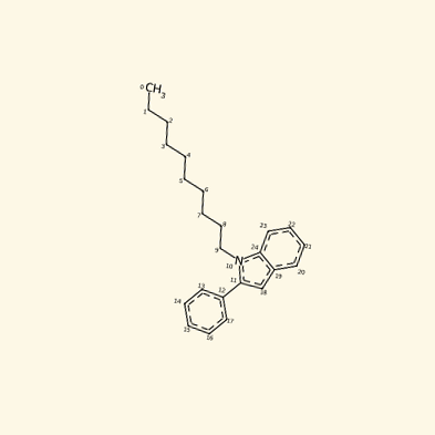 CCCCCCCCCCn1c(-c2ccccc2)cc2ccccc21